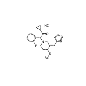 CC(=O)SC1CCN(C(C(=O)C2CC2)c2ccccc2F)CC1=Cc1ccon1.Cl